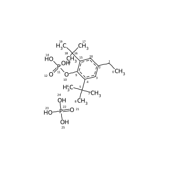 CCc1cc(C(C)(C)C)c(OP(=O)(O)O)c(C(C)(C)C)c1.O=P(O)(O)O